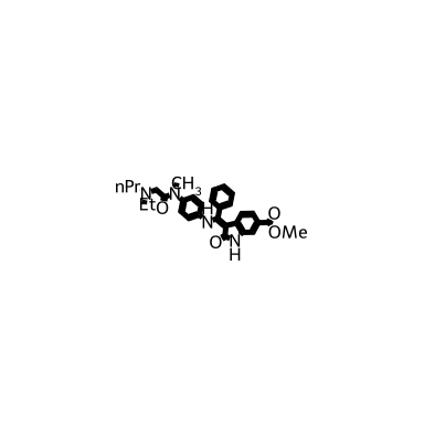 CCCN(CC)CC(=O)N(C)c1ccc(N/C(=C2\C(=O)Nc3cc(C(=O)OC)ccc32)c2ccccc2)cc1